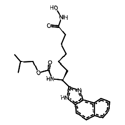 CC(C)COC(=O)N[C@@H](CCCCCC(=O)NO)c1nc2c(ccc3ccccc32)[nH]1